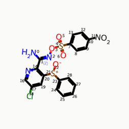 N/C(=N\OS(=O)(=O)c1ccc([N+](=O)[O-])cc1)c1ncc(Cl)cc1[S+]([O-])c1ccccc1